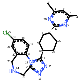 Cc1cc(C)nc([C@H]2CC[C@H](c3nnc4n3-c3ccc(Cl)cc3CNC4)CC2)n1